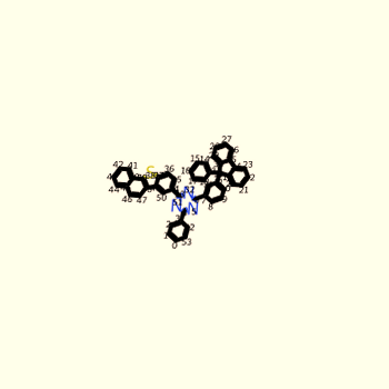 c1ccc(-c2nc(-c3cccc(C4(c5ccccc5)c5ccccc5-c5ccccc54)c3)nc(-c3ccc4sc5c6ccccc6ccc5c4c3)n2)cc1